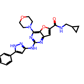 O=C(NCC1CC1)c1cc2nc(Nc3cc(-c4ccccc4)[nH]n3)nc(N3CCOCC3)c2o1